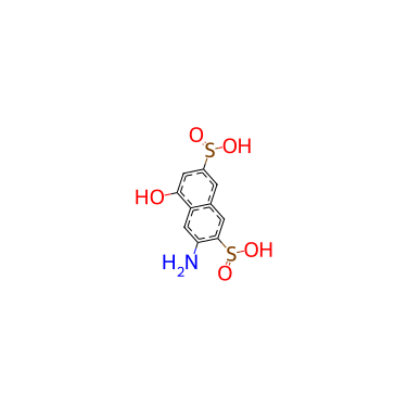 Nc1cc2c(O)cc(S(=O)O)cc2cc1S(=O)O